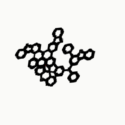 c1ccc(-c2cc(N(c3ccccc3)c3ccc4c(c3)-c3cc(-c5cc6sc7ccccc7c6cc5N(c5ccccc5)c5ccc6sc7ccccc7c6c5-c5ccccc5)ccc3C43c4ccccc4Oc4ccccc43)cc3c2oc2ccccc23)cc1